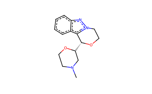 CN1CCOC([C@H]2OCCn3nc4ccccc4c32)C1